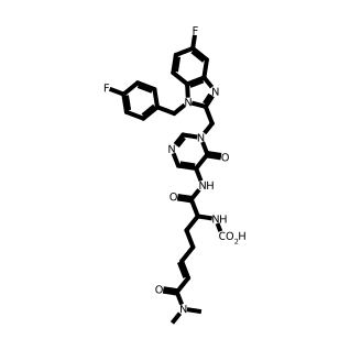 CN(C)C(=O)C=CCCC(NC(=O)O)C(=O)Nc1cncn(Cc2nc3cc(F)ccc3n2Cc2ccc(F)cc2)c1=O